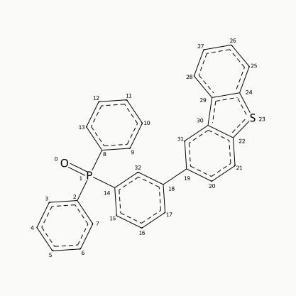 O=P(c1ccccc1)(c1ccccc1)c1cccc(-c2ccc3sc4ccccc4c3c2)c1